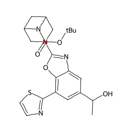 CC(O)c1cc(-c2nccs2)c2oc(N3CC4CC(C3)N4C(=O)OC(C)(C)C)nc2c1